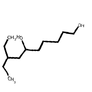 CCC(CC)CC(O)CCCCCO